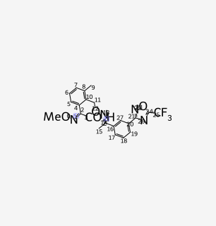 CO/N=C(/C(=O)O)c1cccc(C)c1CO/N=C(\C)c1cccc(-c2noc(C(F)(F)F)n2)c1